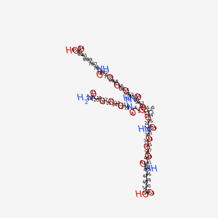 CCC(COCCC(=O)NCCOCCOCCOCCC(N)=O)(COCCC(=O)NCCOCCOCCOCCC(=O)NCCCCCCCC(=O)O)COCCC(=O)NCCOCCOCCOCCC(=O)NCCCCCCCC(=O)O